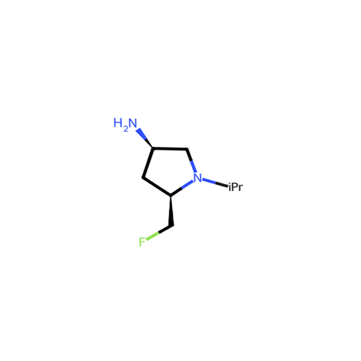 CC(C)N1C[C@H](N)C[C@@H]1CF